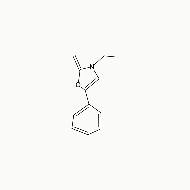 C=C1OC(c2ccccc2)=CN1CC